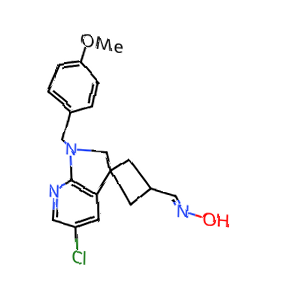 COc1ccc(CN2CC3(CC(C=NO)C3)c3cc(Cl)cnc32)cc1